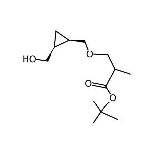 CC(COC[C@@H]1C[C@@H]1CO)C(=O)OC(C)(C)C